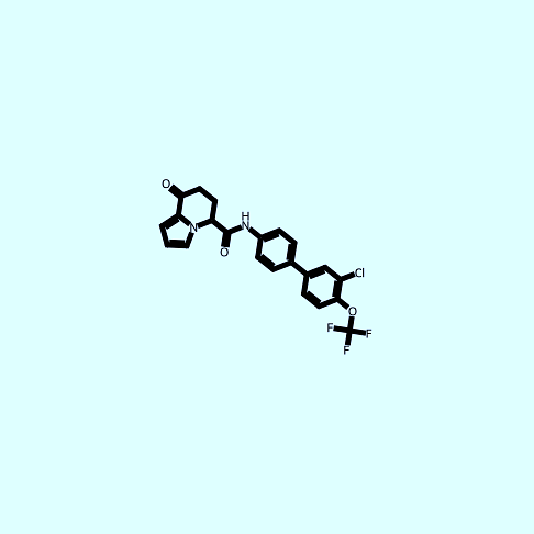 O=C1CCC(C(=O)Nc2ccc(-c3ccc(OC(F)(F)F)c(Cl)c3)cc2)n2cccc21